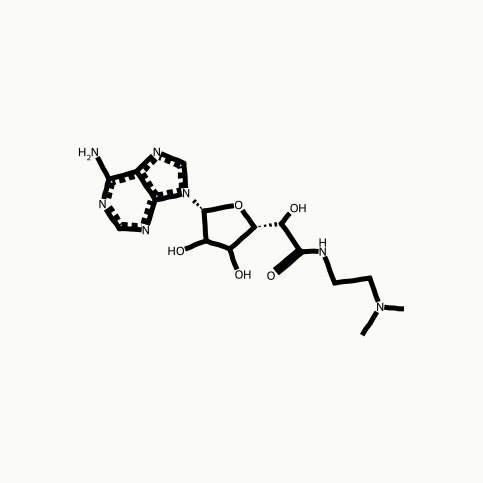 CN(C)CCNC(=O)C(O)[C@H]1O[C@@H](n2cnc3c(N)ncnc32)C(O)C1O